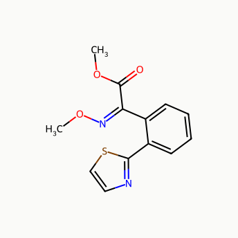 CON=C(C(=O)OC)c1ccccc1-c1nccs1